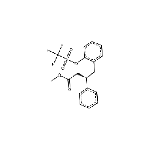 COC(=O)C[C@@H](Cc1ccccc1OS(=O)(=O)C(F)(F)F)c1ccccc1